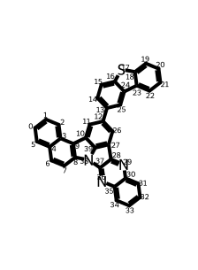 c1ccc2c(c1)ccc1c2c2cc(-c3ccc4sc5ccccc5c4c3)cc3c4nc5ccccc5nc4n1c32